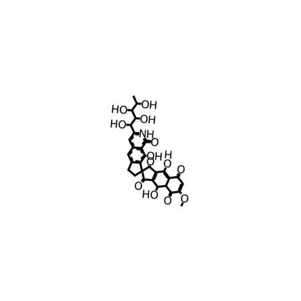 COC1=CC(=O)C2=C(O)C3=C(C(=O)C4(CCc5cc6cc(C(O)C(O)C(O)C(C)O)[nH]c(=O)c6c(O)c54)C3=O)C(O)C2C1=O